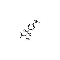 CC(=O)N(N(C)C)S(=O)(=O)c1ccc(N)cc1